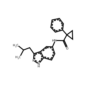 CC(C)Cc1n[nH]c2ccc(NC(=O)C3(c4ccccc4)CC3)cc12